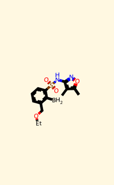 Bc1c(COCC)cccc1S(=O)(=O)Nc1noc(C)c1C